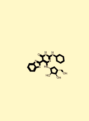 O=c1[nH]c(NC2CCCCC2)nc(N[C@@H]2C[C@H](CO)[C@@H](O)[C@H]2O)c1-c1nc2ccccc2s1